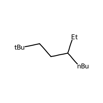 [CH2]CCCC(CC)CCC(C)(C)C